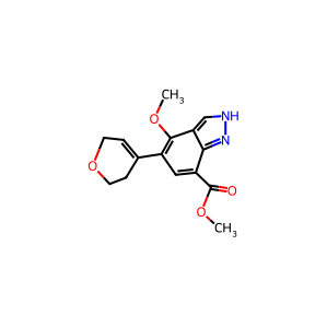 COC(=O)c1cc(C2=CCOCC2)c(OC)c2c[nH]nc12